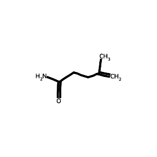 C=C(C)CCC(N)=O